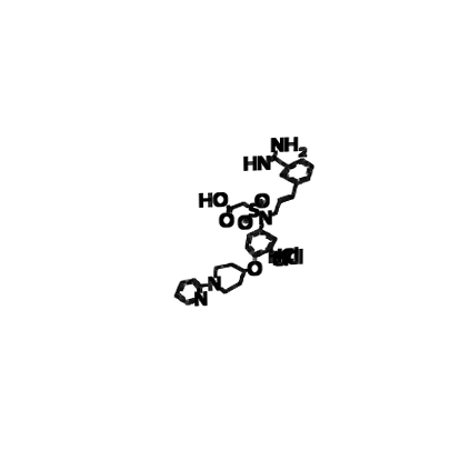 Cl.Cl.N=C(N)c1cccc(/C=C/CN(c2ccc(OC3CCN(c4ccccn4)CC3)c(Cl)c2)S(=O)(=O)CC(=O)O)c1